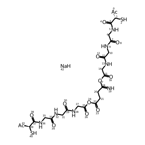 CC(=O)[C@H](S)C(=O)NCC(=O)NCC(=O)NCC(=O)OC(=N)CCC(=O)OC(=O)CNC(=O)CNC(=O)CNC(=O)[C@@H](S)C(C)=O.[NaH]